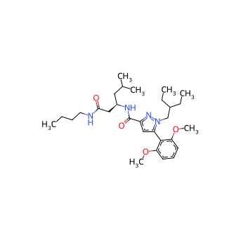 CCCCNC(=O)C[C@@H](CC(C)C)NC(=O)c1cc(-c2c(OC)cccc2OC)n(CC(CC)CC)n1